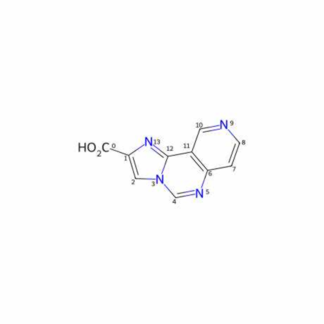 O=C(O)c1cn2cnc3ccncc3c2n1